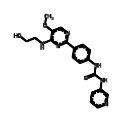 COc1cnc(-c2ccc(NC(=O)Nc3cccnc3)cc2)nc1NCCO